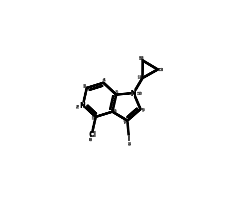 Clc1nccc2c1c(I)cn2C1CC1